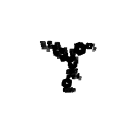 COc1ccc(CN(C)S(=O)(=O)c2cnc(Oc3ccc(C(F)(F)F)cc3)c(-c3cn4c(n3)O[C@H](C)C4)c2)cc1